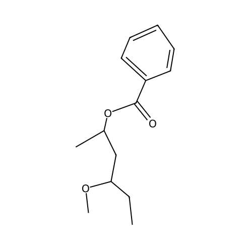 CCC(CC(C)OC(=O)c1ccccc1)OC